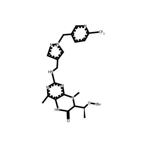 Cc1nc(NCc2cnn(Cc3ccc(C(F)(F)F)nc3)c2)nc2c1NC(=O)C([C@H](C)OC(C)(C)C)N2C